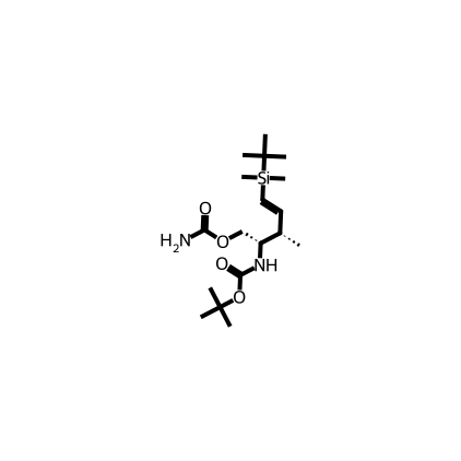 C[C@@H](C=C[Si](C)(C)C(C)(C)C)[C@@H](COC(N)=O)NC(=O)OC(C)(C)C